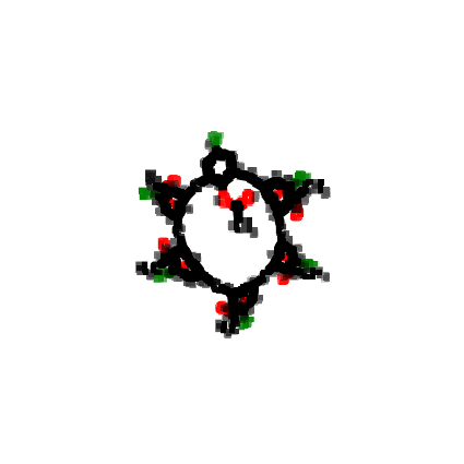 CC(=O)Oc1c2cc(Br)cc1Cc1cc(Br)cc(c1OC(C)=O)Cc1cc(Br)cc(c1OC(C)=O)Cc1cc(Br)cc(c1OC(C)=O)Cc1cc(Br)cc(c1OC(C)=O)Cc1cc(Br)cc(c1OC(C)=O)C2